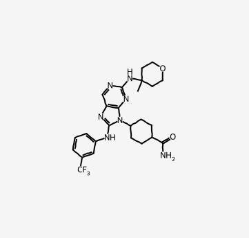 CC1(Nc2ncc3nc(Nc4cccc(C(F)(F)F)c4)n(C4CCC(C(N)=O)CC4)c3n2)CCOCC1